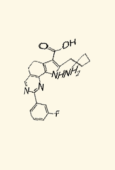 NC1(Cc2[nH]c3c(c2C(=O)O)CCc2cnc(-c4cccc(F)c4)nc2-3)CCC1